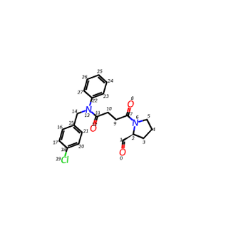 O=C[C@@H]1CCCN1C(=O)CCC(=O)N(Cc1ccc(Cl)cc1)c1ccccc1